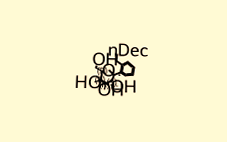 CCCCCCCCCCCCc1ccccc1[C]1O[C@H](CO)[C@H](O)[C@H](O)[C@H]1O